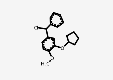 COc1ccc(C(Cl)c2ccccc2)cc1OC1CCCC1